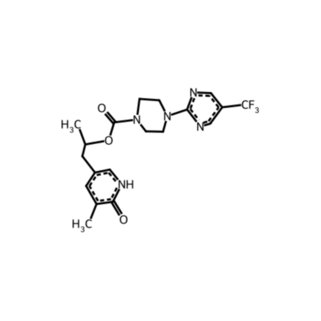 Cc1cc(CC(C)OC(=O)N2CCN(c3ncc(C(F)(F)F)cn3)CC2)c[nH]c1=O